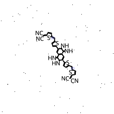 N#CC(C#N)=c1cc/c(=C/c2ccc(-c3cc4c(=N)c(=N)c(-c5ccc(/C=c6/ccc(=C(C#N)C#N)s6)s5)cc=4c(=N)c3=N)s2)s1